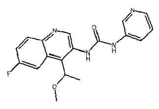 COC(C)c1c(NC(=O)Nc2cccnc2)cnc2ccc(F)cc12